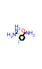 NC(=O)c1ccc(F)cc1.NC(N)=S